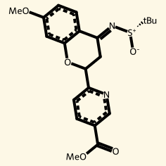 COC(=O)c1ccc(C2CC(=N[S@@+]([O-])C(C)(C)C)c3ccc(OC)cc3O2)nc1